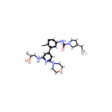 Cc1ccc(NC(=O)N2CC[C@@H](CC(F)(F)F)C2)cc1-c1cc(NC[C@H](C)O)nc(N2CCOCC2)c1